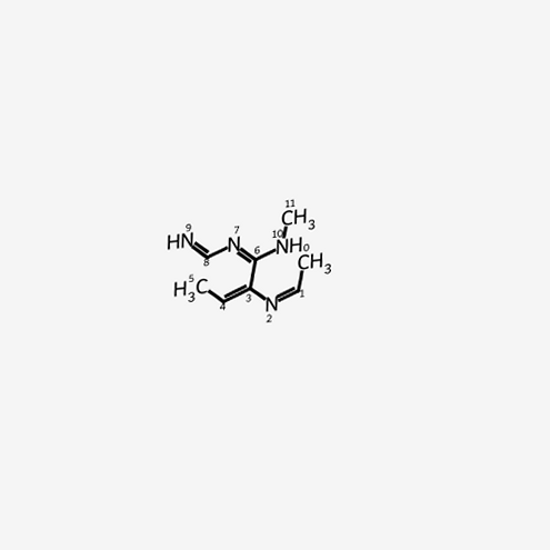 C\C=N/C(=C/C)C(=N\C=N)/NC